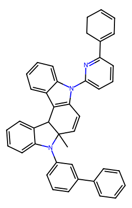 CC12C=Cc3c(c4ccccc4n3-c3cccc(C4=CC=CCC4)n3)C1c1ccccc1N2c1cccc(-c2ccccc2)c1